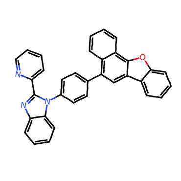 c1ccc(-c2nc3ccccc3n2-c2ccc(-c3cc4c5ccccc5oc4c4ccccc34)cc2)nc1